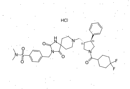 CN(C)S(=O)(=O)c1ccc(CN2C(=O)NC3(CCN(C[C@H]4CN(C(=O)C5CCC(F)(F)CC5)C[C@@H]4c4ccccc4)CC3)C2=O)cc1.Cl